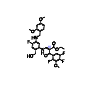 CCOC(=O)/C(=C/Nc1cc(NCc2ccc(OC)cc2OC)c(F)cc1CO)C(=O)c1cc(F)c(F)c(OC)c1F